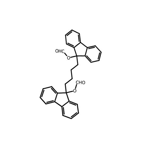 O=COC1(CCCCC2(OC=O)c3ccccc3-c3ccccc32)c2ccccc2-c2ccccc21